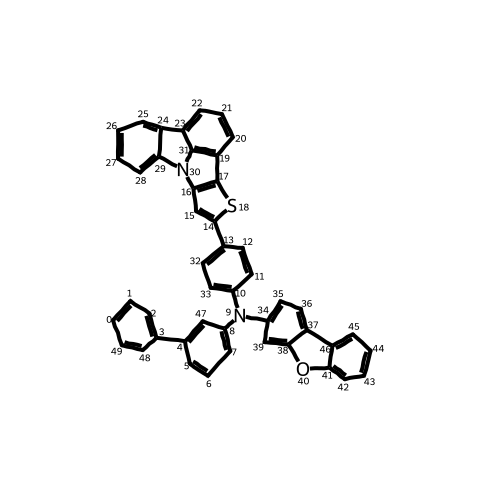 c1ccc(-c2cccc(N(c3ccc(-c4cc5c(s4)c4cccc6c7ccccc7n5c64)cc3)c3ccc4c(c3)oc3ccccc34)c2)cc1